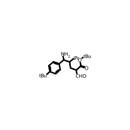 CC(C)C(CC(C=O)C(=O)OC(C)(C)C)C(N)c1ccc(C(C)(C)C)cc1